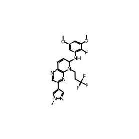 COc1cc(NC2C=Cc3ncc(-c4cnn(C)c4)nc3N2CCC(F)(F)F)c(F)c(OC)c1